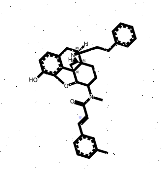 Cc1cccc(/C=C/C(=O)N(C)C2CC[C@H]3[C@H]4Cc5ccc(O)c6c5[C@@]3(CCN4CCc3ccccc3)C2O6)c1